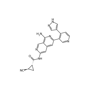 N#C[C@@H]1C[C@H]1C(=O)Nc1cc2cc(-c3cnccc3-c3cn[nH]c3)nc(N)c2cn1